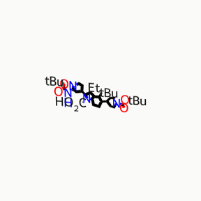 CCc1c(-c2ccnc(NC(=O)OC(C)(C)C)c2)n(C(=O)O)c2ccc(C3=CCN(C(=O)OC(C)(C)C)CC3)c(C(C)(C)C)c12